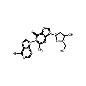 Nc1nc2c(ncn2[C@H]2CC(O)[C@@H](CO)O2)c(=S)n1-n1cnc2c(S)ncnc21